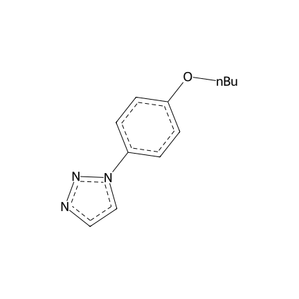 CCCCOc1ccc(-n2ccnn2)cc1